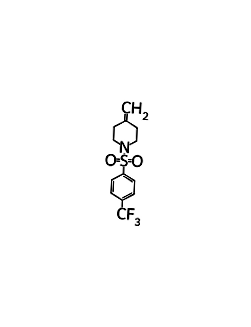 C=C1CCN(S(=O)(=O)c2ccc(C(F)(F)F)cc2)CC1